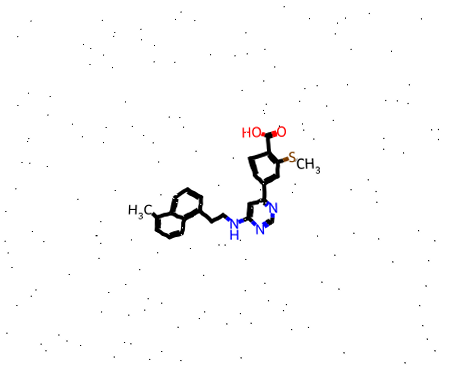 CSc1cc(-c2cc(NCCc3cccc4c(C)cccc34)ncn2)ccc1C(=O)O